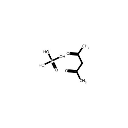 CC(=O)CC(C)=O.O=P(O)(O)O